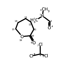 CN(C)C=O.ClC(Cl)Cl.O=C1CCCCCO1